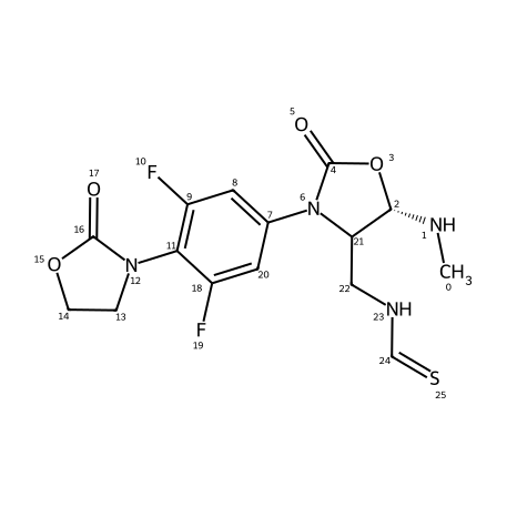 CN[C@H]1OC(=O)N(c2cc(F)c(N3CCOC3=O)c(F)c2)C1CNC=S